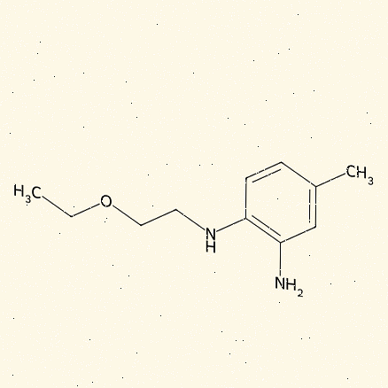 CCOCCNc1ccc(C)cc1N